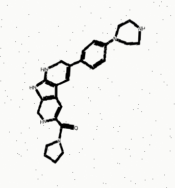 O=C(C1=Cc2c([nH]c3c2C=C(c2ccc(N4CCNCC4)cc2)CN3)CN1)N1CCCC1